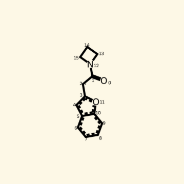 O=C([CH]c1cc2ccccc2o1)N1CCC1